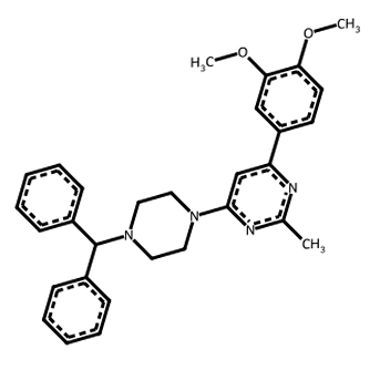 COc1ccc(-c2cc(N3CCN(C(c4ccccc4)c4ccccc4)CC3)nc(C)n2)cc1OC